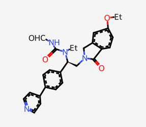 CCOc1ccc2c(c1)CN(C[C@@H](c1ccc(-c3ccncc3)cc1)N(CC)C(=O)NC=O)C2=O